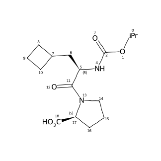 CC(C)OC(=O)N[C@H](CC1CCC1)C(=O)N1CCC[C@H]1C(=O)O